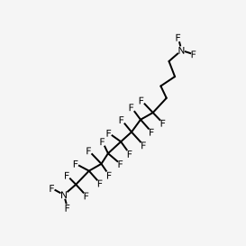 FN(F)CCCCC(F)(F)C(F)(F)C(F)(F)C(F)(F)C(F)(F)C(F)(F)C(F)(F)C(F)(F)N(F)F